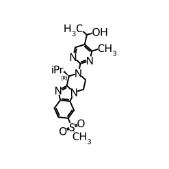 Cc1nc(N2CCn3c(nc4ccc(S(C)(=O)=O)cc43)[C@H]2C(C)C)ncc1C(C)O